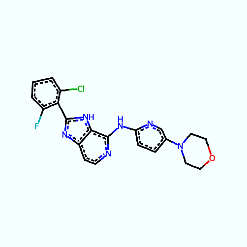 Fc1cccc(Cl)c1-c1nc2ccnc(Nc3ccc(N4CCOCC4)cn3)c2[nH]1